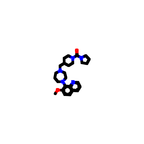 COc1ccc2cccnc2c1N1CCCN(CC2CCN(C(=O)N3CCCC3)CC2)CC1